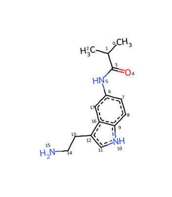 CC(C)C(=O)Nc1ccc2[nH]cc(CCN)c2c1